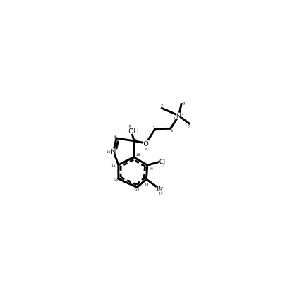 C[N+](C)(C)CCOC1(O)C=Nc2ccc(Br)c(Cl)c21